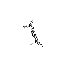 CC(C)(C)c1ccc(N(c2ccc(C#N)cc2)c2ccc3cc4c(cc3c2)oc2c4ccc3c4cc5ccc(N(c6ccc(C#N)cc6)c6ccc(C(C)(C)C)cc6)cc5cc4oc32)cc1